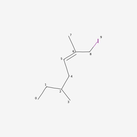 CCC(C)C/C=C(/C)CI